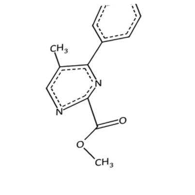 COC(=O)c1ncc(C)c(-c2ccccc2)n1